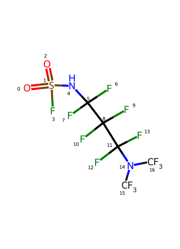 O=S(=O)(F)NC(F)(F)C(F)(F)C(F)(F)N(C(F)(F)F)C(F)(F)F